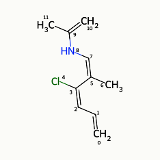 C=C/C=C(Cl)\C(C)=C/NC(=C)C